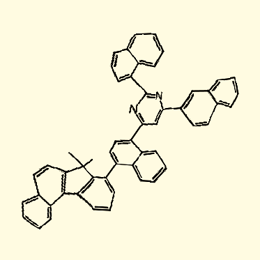 CC1(C)c2ccc3ccccc3c2-c2cccc(-c3ccc(-c4cc(-c5ccc6ccccc6c5)nc(-c5cccc6ccccc56)n4)c4ccccc34)c21